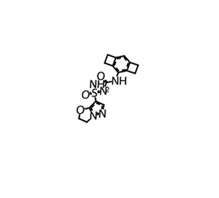 N[S@](=O)(=NC(=O)Nc1c2c(cc3c1CC3)CC2)c1cnn2c1OCC2